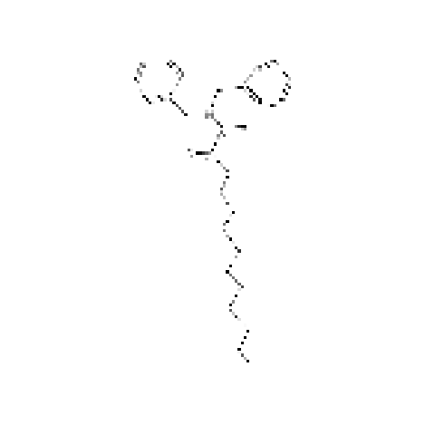 CCCCCCCCCCC[C@@H](O)[C@H](C)N(Cc1ccccc1)Cc1ccccc1